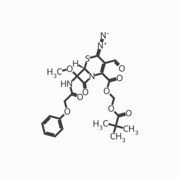 COC1(NC(=O)COc2ccccc2)C(=O)N2C(C(=O)OCOC(=O)C(C)(C)C)=C(C=O)C(=[N+]=[N-])S[C@H]21